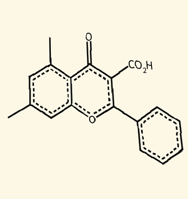 Cc1cc(C)c2c(=O)c(C(=O)O)c(-c3ccccc3)oc2c1